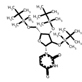 CC(C)(C)[Si](C)(C)OC[C@H]1O[C@@H](n2ccc(=O)[nH]c2=O)C(O[Si](C)(C)C(C)(C)C)[C@H]1O[Si](C)(C)C(C)(C)C